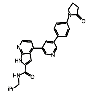 CC(C)CNC(=O)c1cc2c(-c3cncc(-c4ccc(N5CCCC5=O)cc4)c3)ccnc2[nH]1